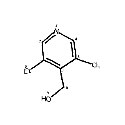 CCc1cncc(Cl)c1CO